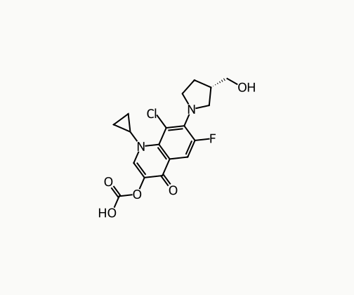 O=C(O)Oc1cn(C2CC2)c2c(Cl)c(N3CC[C@H](CO)C3)c(F)cc2c1=O